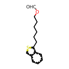 O=COCCCCCCc1scc2ccccc12